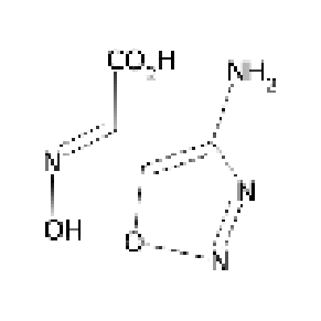 Nc1conn1.O=C(O)C=NO